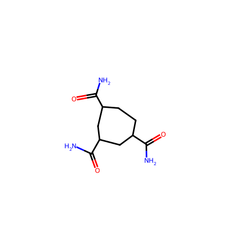 NC(=O)C1CCC(C(N)=O)CC(C(N)=O)C1